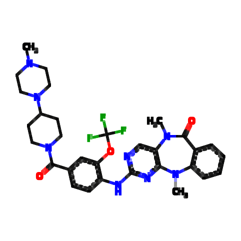 CN1CCN(C2CCN(C(=O)c3ccc(Nc4ncc5c(n4)N(C)c4ccccc4C(=O)N5C)c(OC(F)(F)F)c3)CC2)CC1